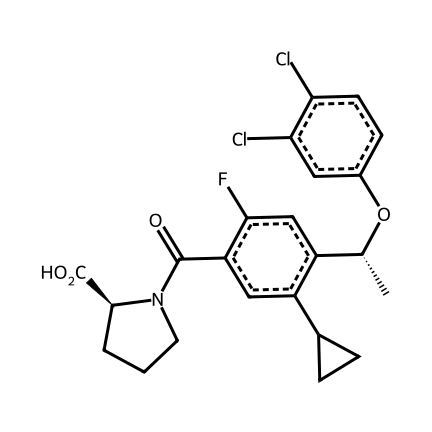 C[C@@H](Oc1ccc(Cl)c(Cl)c1)c1cc(F)c(C(=O)N2CCC[C@H]2C(=O)O)cc1C1CC1